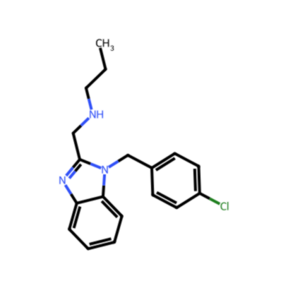 CCCNCc1nc2ccccc2n1Cc1ccc(Cl)cc1